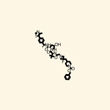 Cc1ncsc1-c1ccc([C@H](C)NC(=O)[C@@H]2C[C@@H](O)CN2C(=O)[C@@H](NC(=O)CN2CC(F)(CC3CCN(C(=O)OCc4ccccc4)CC3)C2)C(C)(C)C)cc1